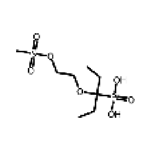 CCC(CC)(OCCOS(C)(=O)=O)P(=O)(O)O